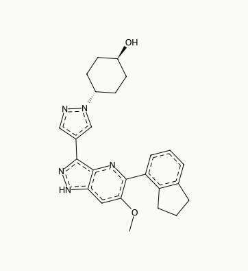 COc1cc2[nH]nc(-c3cnn([C@H]4CC[C@H](O)CC4)c3)c2nc1-c1cccc2c1CCC2